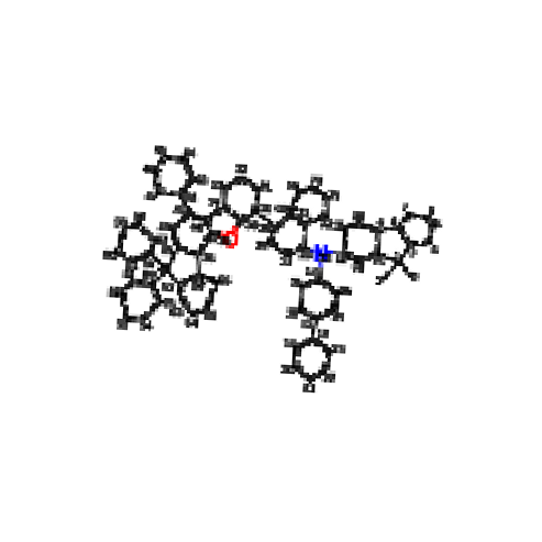 CC1(C)c2ccccc2-c2ccc(N(c3ccc(-c4ccccc4)cc3)c3ccc(-c4cccc5c4oc4c6c(cc(-c7ccccc7)c45)C(c4ccccc4)(c4ccccc4)c4ccccc4-6)c4ccccc34)cc21